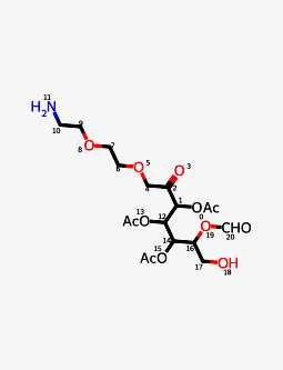 CC(=O)OC(C(=O)COCCOCCN)C(OC(C)=O)C(OC(C)=O)C(CO)OC=O